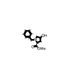 COC(=O)[C@@H]1CC(O)CN1Cc1ccccc1